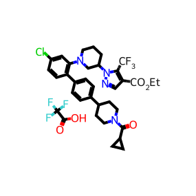 CCOC(=O)c1cnn(C2CCCN(c3cc(Cl)ccc3-c3ccc(C4CCN(C(=O)C5CC5)CC4)cc3)C2)c1C(F)(F)F.O=C(O)C(F)(F)F